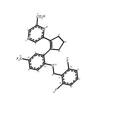 O=C(O)c1cncc(C2=C(c3cc(C(F)(F)F)ccc3OCc3c(F)cccc3F)CCC2)n1